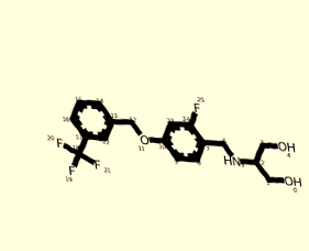 OCC(CO)NCc1ccc(OCc2cccc(C(F)(F)F)c2)cc1F